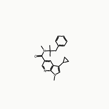 CN(C(=O)c1cnc2c(c1)c(C1CC1)cn2C)C(C)(C)Cc1ccccc1